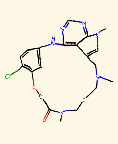 CN1CCCN(C)C(=O)COc2cc(ccc2Cl)Nc2ncnc3c2c(cn3C)C1